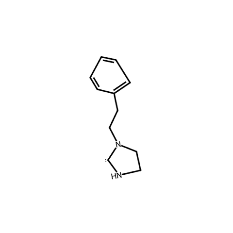 [C]1NCCN1CCc1ccccc1